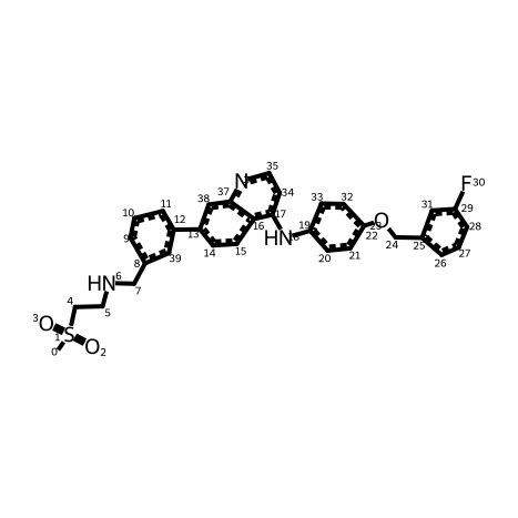 CS(=O)(=O)CCNCc1cccc(-c2ccc3c(Nc4ccc(OCc5cccc(F)c5)cc4)ccnc3c2)c1